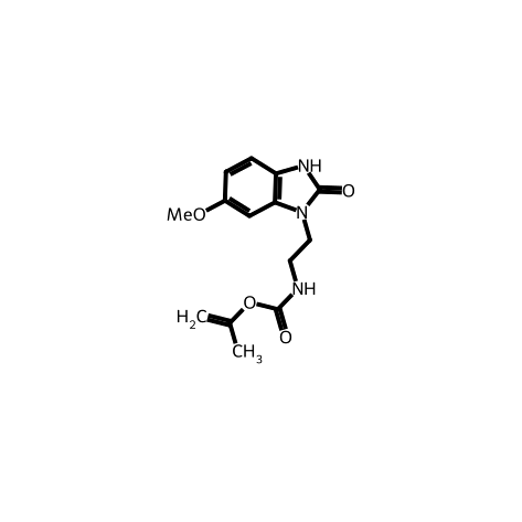 C=C(C)OC(=O)NCCn1c(=O)[nH]c2ccc(OC)cc21